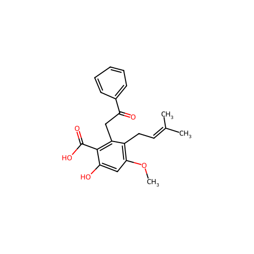 COc1cc(O)c(C(=O)O)c(CC(=O)c2ccccc2)c1CC=C(C)C